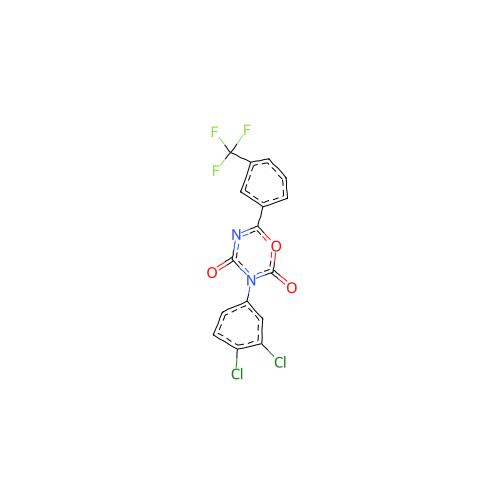 O=c1nc(-c2cccc(C(F)(F)F)c2)oc(=O)n1-c1ccc(Cl)c(Cl)c1